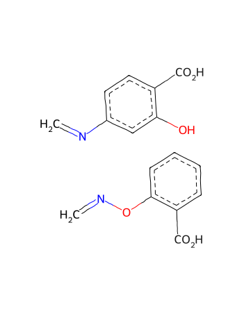 C=NOc1ccccc1C(=O)O.C=Nc1ccc(C(=O)O)c(O)c1